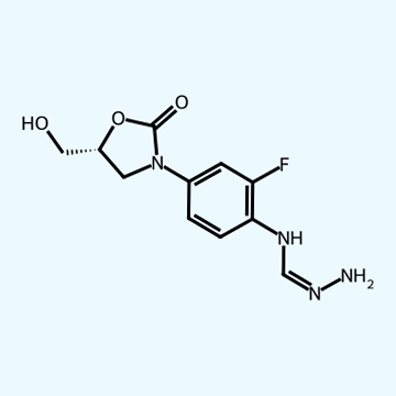 N/N=C\Nc1ccc(N2C[C@H](CO)OC2=O)cc1F